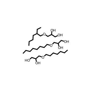 CCCCC(CC)COCC(O)CO.CCCCCCCCOCC(O)CO.CCCCCCCOCC(O)CO